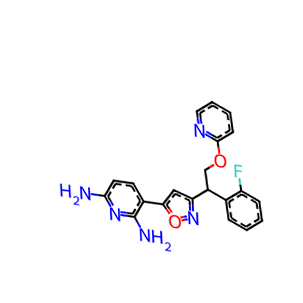 Nc1ccc(-c2cc(C(COc3ccccn3)c3ccccc3F)no2)c(N)n1